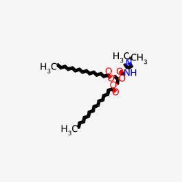 CCCCCCCCCCCCCCCC(=O)OCC(COC(=O)CCCCCCCCCCCCCCC)OC(=O)NC1CN(C(C)C)C1